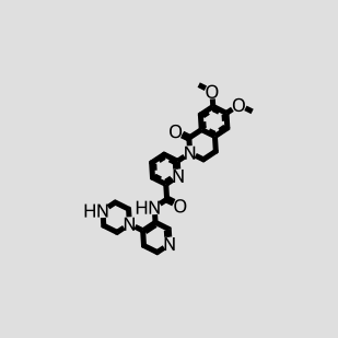 COc1cc2c(cc1OC)C(=O)N(c1cccc(C(=O)NC3=C(N4CCNCC4)CCN=C3)n1)CC2